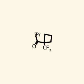 CC(C)C(=O)C1(C(F)(F)F)CCC1